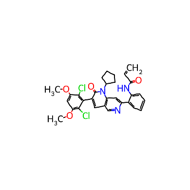 C=CC(=O)Nc1ccccc1-c1cc2c(cn1)cc(-c1c(Cl)c(OC)cc(OC)c1Cl)c(=O)n2C1CCCC1